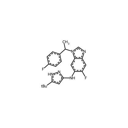 CC(c1ccc(F)cc1)n1cnc2cc(F)c(Nc3cc(C(C)(C)C)[nH]n3)cc21